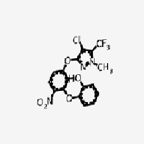 Cn1nc(Oc2ccc([N+](=O)[O-])c(Oc3ccccc3O)c2)c(Cl)c1C(F)(F)F